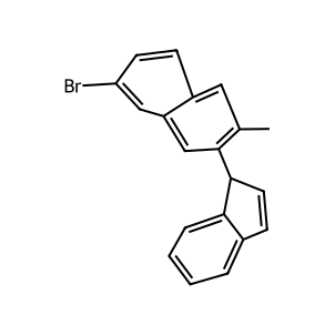 Cc1cc2ccc(Br)cc2cc1C1C=Cc2ccccc21